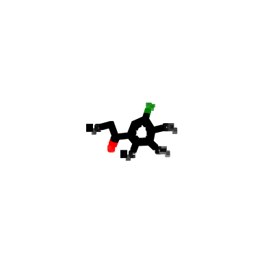 CCC(=O)c1cc(Br)c(C)c(C)c1C